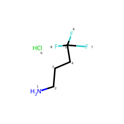 Cl.NCCCC(F)(F)F